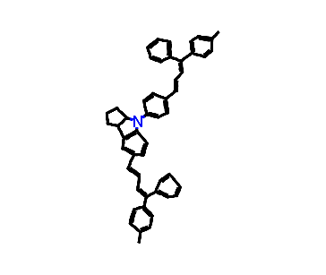 Cc1ccc(/C(=C/C=C/c2ccc(N3c4ccc(/C=C/C=C(\c5ccccc5)c5ccc(C)cc5)cc4C4CCCC43)cc2)c2ccccc2)cc1